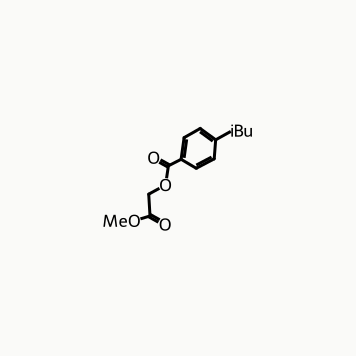 CCC(C)c1ccc(C(=O)OCC(=O)OC)cc1